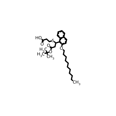 CCCCCCCCCCCOc1ccc2ccccc2c1C(CC(=O)OC(C)(C)C)SCCC(=O)O